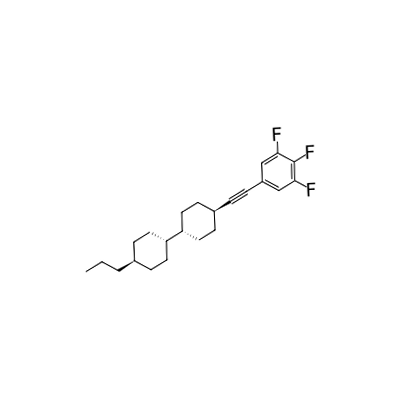 CCC[C@H]1CC[C@H]([C@H]2CC[C@H](C#Cc3cc(F)c(F)c(F)c3)CC2)CC1